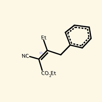 CCOC(=O)/C(C#N)=C(/CC)Cc1ccccc1